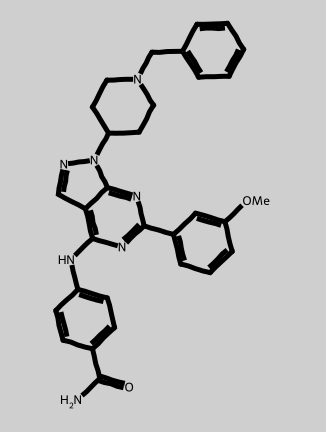 COc1cccc(-c2nc(Nc3ccc(C(N)=O)cc3)c3cnn(C4CCN(Cc5ccccc5)CC4)c3n2)c1